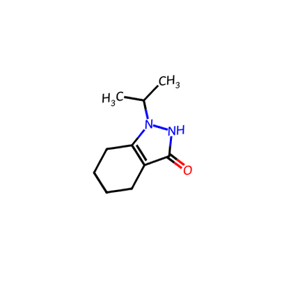 CC(C)n1[nH]c(=O)c2c1CCCC2